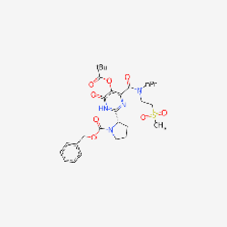 CCCN(CCS(C)(=O)=O)C(=O)c1nc([C@@H]2CCCN2C(=O)OCc2ccccc2)[nH]c(=O)c1OC(=O)C(C)(C)C